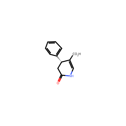 O=C1C[C@H](c2ccccc2)C(C(=O)O)=CN1